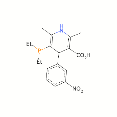 CCP(CC)C1=C(C)NC(C)=C(C(=O)O)C1c1cccc([N+](=O)[O-])c1